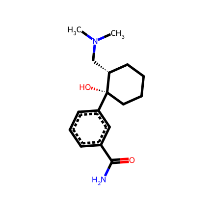 CN(C)C[C@@H]1CCCC[C@@]1(O)c1cccc(C(N)=O)c1